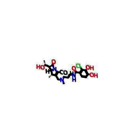 C[C@@H](O)[C@H]1C(=O)N2C(C(=O)O)=C(CN(C)CCCNC(=O)c3ccc(O)c(O)c3Cl)[C@H](C)[C@H]12